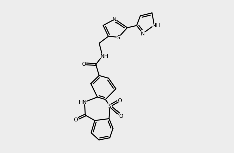 O=C(NCc1cnc(-c2cc[nH]n2)s1)c1ccc2c(c1)NC(=O)c1ccccc1S2(=O)=O